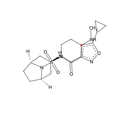 CNC1CCN(S(=O)(=O)N2[C@@H]3CC[C@H]2C[C@@H](NC(=O)c2cc(C4CC4)on2)C3)CC1